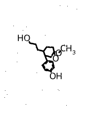 COC12CCC(CCCO)C(C1)c1ccc(O)cc1O2